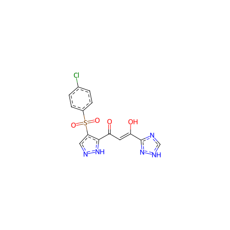 O=C(C=C(O)c1nc[nH]n1)c1[nH]ncc1S(=O)(=O)c1ccc(Cl)cc1